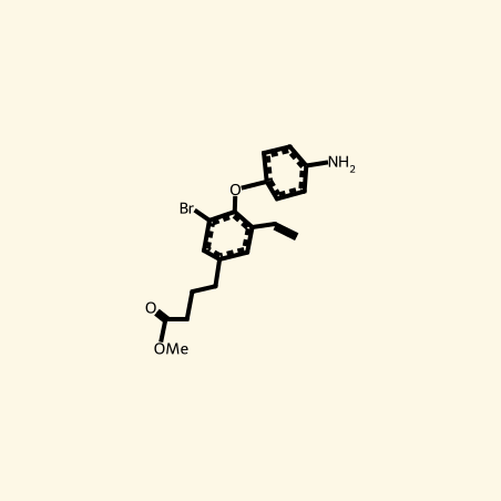 C=Cc1cc(CCCC(=O)OC)cc(Br)c1Oc1ccc(N)cc1